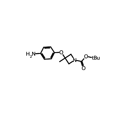 CC(C)(C)OC(=O)N1CC(C)(Oc2ccc(N)cc2)C1